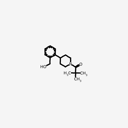 CC(C)(C)C(=O)N1CCC(c2ccccc2CO)CC1